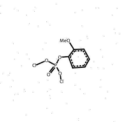 COc1ccccc1OP(=O)(OCl)OCl